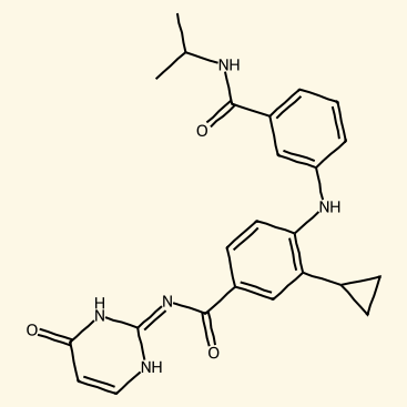 CC(C)NC(=O)c1cccc(Nc2ccc(C(=O)/N=c3\[nH]ccc(=O)[nH]3)cc2C2CC2)c1